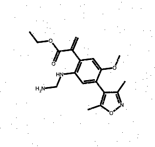 C=C(C(=O)OCC)c1cc(OC)c(-c2c(C)noc2C)cc1NCN